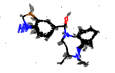 CC(=O)N1c2ccccc2N(C(=O)c2ccc3c(c2)SCN3)C[C@@H]1C